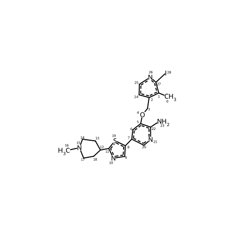 Cc1c(COc2cc(-c3cnc(C4CCN(C)CC4)s3)cnc2N)ccnc1I